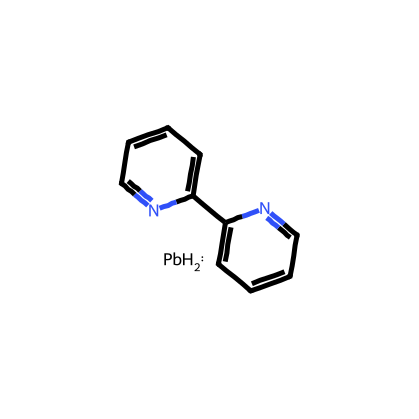 [PbH2].c1ccc(-c2ccccn2)nc1